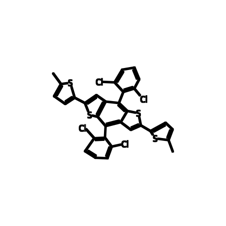 Cc1ccc(-c2cc3c(-c4c(Cl)cccc4Cl)c4sc(-c5ccc(C)s5)cc4c(-c4c(Cl)cccc4Cl)c3s2)s1